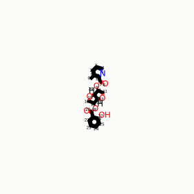 Cc1cccnc1C(=O)O[C@@H]1CO[C@H]2[C@@H]1OC[C@@H]2OC(=O)c1ccccc1O